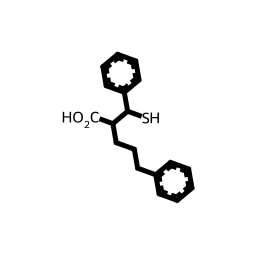 O=C(O)C(CCCc1ccccc1)C(S)c1ccccc1